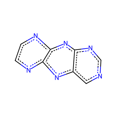 c1ncc2nc3nccnc3nc2n1